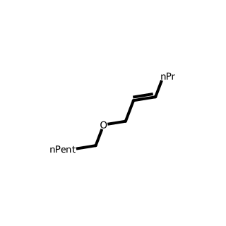 CCCC=CCOCCCCCC